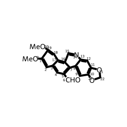 COc1cc2cc(C=O)c3c4cc5c(cc4ncc3c2cc1OC)OCO5